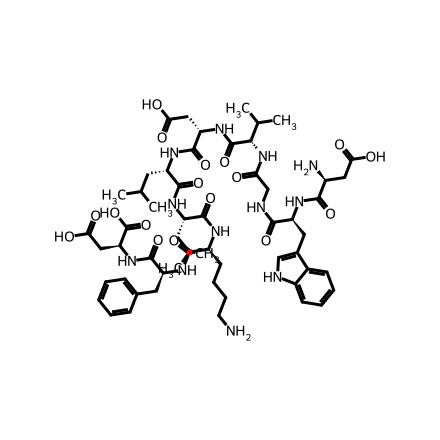 CC(C)C[C@H](NC(=O)[C@H](CC(C)C)NC(=O)[C@H](CC(=O)O)NC(=O)[C@@H](NC(=O)CNC(=O)[C@H](Cc1c[nH]c2ccccc12)NC(=O)[C@@H](N)CC(=O)O)C(C)C)C(=O)N[C@@H](CCCCN)C(=O)N[C@@H](Cc1ccccc1)C(=O)N[C@@H](CC(=O)O)C(=O)O